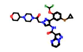 O=C(Nc1cn(CC(=O)N2CCN(C3CCOCC3)CC2)nc1-c1cc(SC2CC2)ccc1OC(F)F)c1cnn2cccnc12